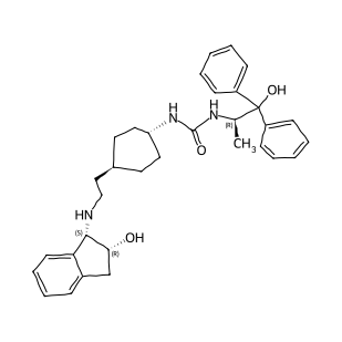 C[C@@H](NC(=O)N[C@H]1CC[C@H](CCN[C@H]2c3ccccc3C[C@H]2O)CC1)C(O)(c1ccccc1)c1ccccc1